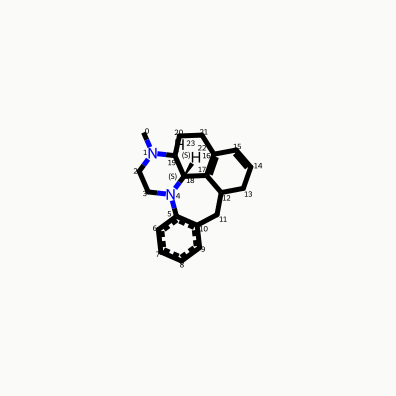 CN1CCN2c3ccccc3CC3CC=CC4=C3[C@H]2[C@@H]1CC4